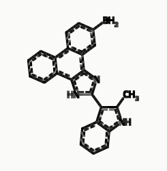 Bc1ccc2c3ccccc3c3[nH]c(-c4c(C)[nH]c5ccccc45)nc3c2c1